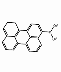 OB(O)c1ccc2c3c4c(cccc4c4cccc1c24)=CCC3